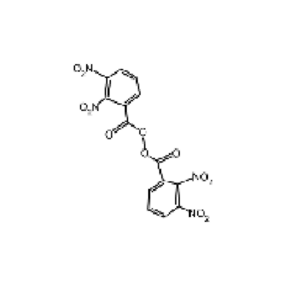 O=C(OOC(=O)c1cccc([N+](=O)[O-])c1[N+](=O)[O-])c1cccc([N+](=O)[O-])c1[N+](=O)[O-]